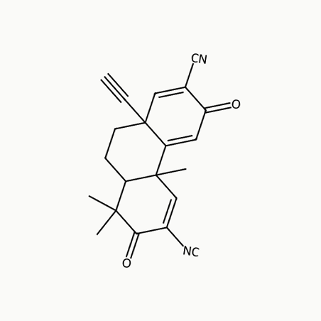 [C-]#[N+]C1=CC2(C)C3=CC(=O)C(C#N)=CC3(C#C)CCC2C(C)(C)C1=O